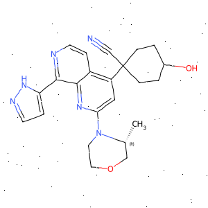 C[C@@H]1COCCN1c1cc(C2(C#N)CCC(O)CC2)c2ccnc(-c3ccn[nH]3)c2n1